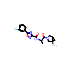 CC(NC(=O)c1noc(-c2cccc(F)c2)n1)C(=O)N1CC2CC2(C(F)(F)F)C1